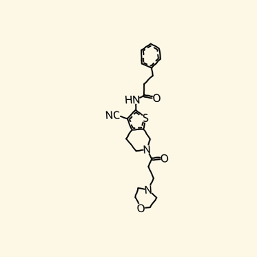 N#Cc1c(NC(=O)CCc2ccccc2)sc2c1CCN(C(=O)CCN1CCOCC1)C2